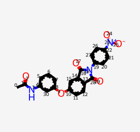 CC(=O)Nc1cccc(Oc2ccc3c(c2)C(=O)N(c2ccc([N+](=O)[O-])cc2)C3=O)c1